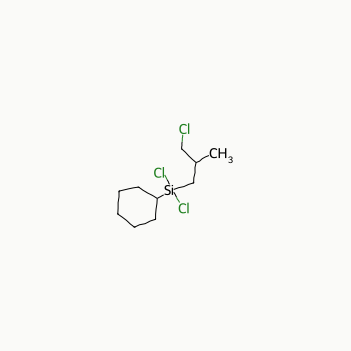 CC(CCl)C[Si](Cl)(Cl)C1CCCCC1